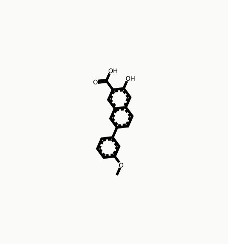 COc1cccc(-c2ccc3cc(O)c(C(=O)O)cc3c2)c1